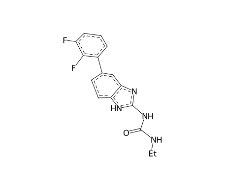 CCNC(=O)Nc1nc2cc(-c3cccc(F)c3F)ccc2[nH]1